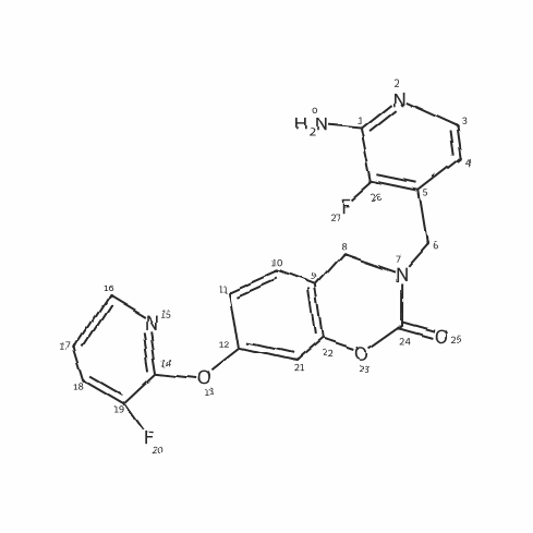 Nc1nccc(CN2Cc3ccc(Oc4ncccc4F)cc3OC2=O)c1F